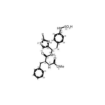 COC(=O)N[C@@H](Cc1ccccc1)C(=O)N[C@@H](Cc1ccc(NS(=O)(=O)O)cc1)c1csc(C)n1